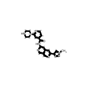 Cn1cc(-c2cc3cc(NC(=O)c4ccnc(N5CCNCC5)c4)ncc3cn2)nn1